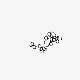 C=CC(=O)OCCOC(=O)CCCCCOC(C)(C)C(=O)NC1(C)CC(C)(C)CCC1NC(=O)OCCOCCCSOCC